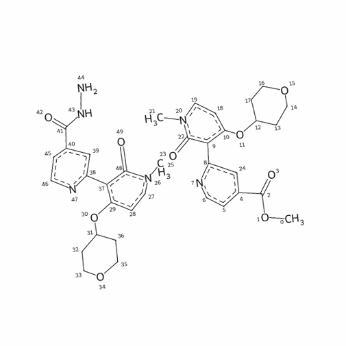 COC(=O)c1ccnc(-c2c(OC3CCOCC3)ccn(C)c2=O)c1.Cn1ccc(OC2CCOCC2)c(-c2cc(C(=O)NN)ccn2)c1=O